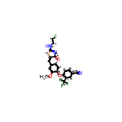 COc1cc(C=C2SC(NCCF)=NC2=O)ccc1Oc1ccc(C#N)cc1C(F)(F)F